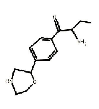 CCC(N)C(=O)c1ccc(C2CNCCO2)cc1